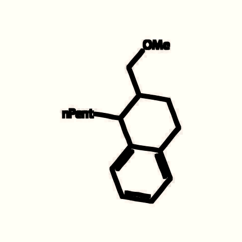 CCCCCC1c2ccccc2CCC1COC